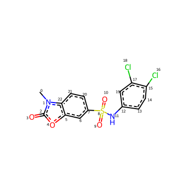 Cn1c(=O)oc2cc(S(=O)(=O)Nc3ccc(Cl)c(Cl)c3)ccc21